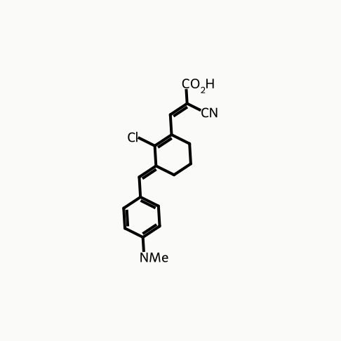 CNc1ccc(/C=C2\CCCC(/C=C(\C#N)C(=O)O)=C2Cl)cc1